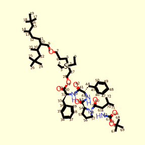 CC[Si](CC)(CCCOCC(CCC(C)CC(C)(C)C)C(C)CC(C)(C)C)CCOC(=O)[C@H](Cc1ccccc1)NC(=O)[C@H](Cc1ccccc1)NC(=O)[C@@H]1CCCN1C(=O)[C@@H](NC(=O)OC(C)(C)C)C(C)C